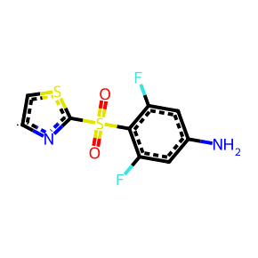 Nc1cc(F)c(S(=O)(=O)c2n[c]cs2)c(F)c1